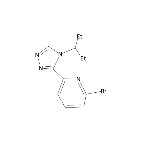 CCC(CC)n1cnnc1-c1cccc(Br)n1